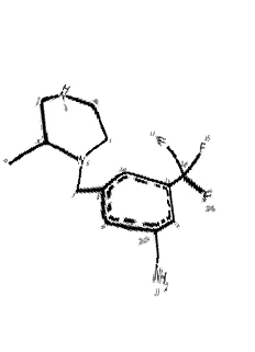 CC1CNCCN1Cc1cc(N)cc(C(F)(F)F)c1